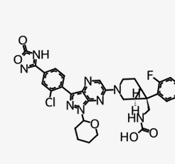 O=C(O)NC[C@]1(c2ccccc2F)[C@@H]2CCN(c3cnc4c(-c5ccc(-c6noc(=O)[nH]6)cc5Cl)nn(C5CCCCO5)c4n3)C[C@@H]21